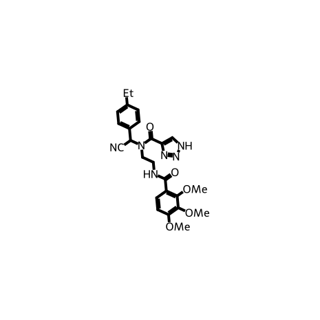 CCc1ccc(C(C#N)N(CCNC(=O)c2ccc(OC)c(OC)c2OC)C(=O)c2c[nH]nn2)cc1